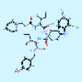 CCC(C)[C@H](NC(=O)OCc1ccccc1)C(=O)N[C@]1(C(=O)N[C@H](C(=O)NCc2ccc(O)cc2)C(C)CC)CCc2[nH]c3c(Cl)cc(Cl)cc3c2C1